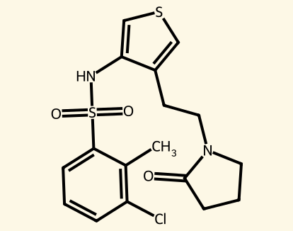 Cc1c(Cl)cccc1S(=O)(=O)Nc1cscc1CCN1CCCC1=O